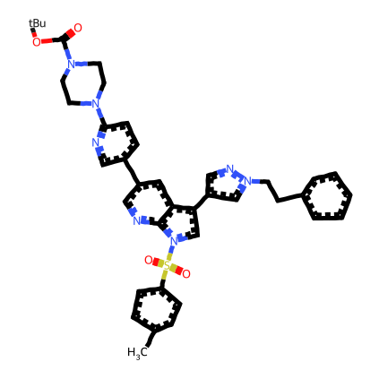 Cc1ccc(S(=O)(=O)n2cc(-c3cnn(CCc4ccccc4)c3)c3cc(-c4ccc(N5CCN(C(=O)OC(C)(C)C)CC5)nc4)cnc32)cc1